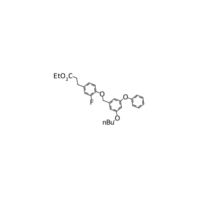 CCCCOc1cc(COc2ccc(CCC(=O)OCC)cc2F)cc(Oc2ccccc2)c1